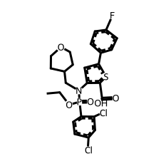 CCOP(=O)(c1ccc(Cl)cc1Cl)N(CC1CCOCC1)c1cc(-c2ccc(F)cc2)sc1C(=O)O